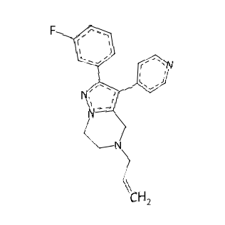 C=CCN1CCn2nc(-c3cccc(F)c3)c(-c3ccncc3)c2C1